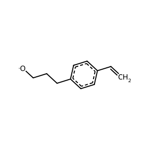 C=Cc1ccc(CCC[O])cc1